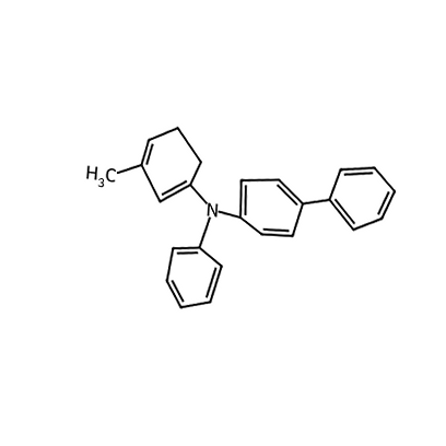 CC1=CCCC(N(c2ccccc2)c2ccc(-c3ccccc3)cc2)=C1